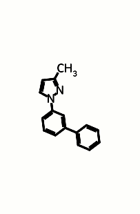 Cc1ccn(-c2cccc(-c3ccccc3)c2)n1